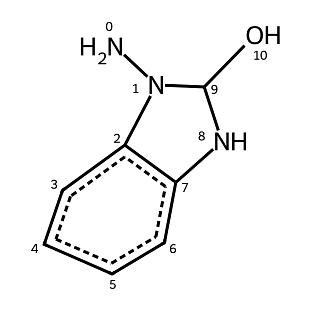 NN1c2ccccc2NC1O